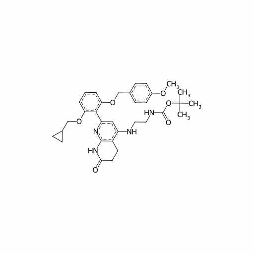 COc1ccc(COc2cccc(OCC3CC3)c2-c2cc(NCCNC(=O)OC(C)(C)C)c3c(n2)NC(=O)CC3)cc1